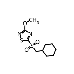 COc1nsc(S(=O)(=O)CC2CCCCC2)n1